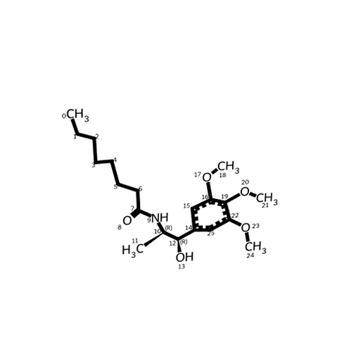 CCCCCCCC(=O)N[C@H](C)[C@H](O)c1cc(OC)c(OC)c(OC)c1